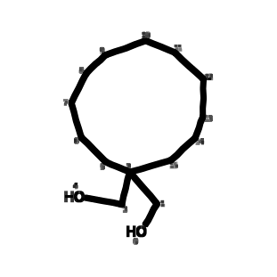 OCC1(CO)CCCCCCCCCCC1